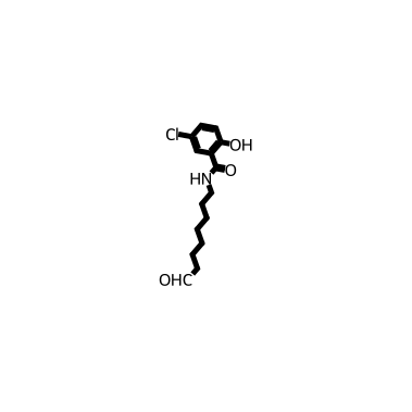 O=CCCCCCCCNC(=O)c1cc(Cl)ccc1O